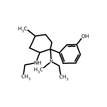 CCNC1CC(C)CCC1(c1cccc(O)c1)N(C)CC